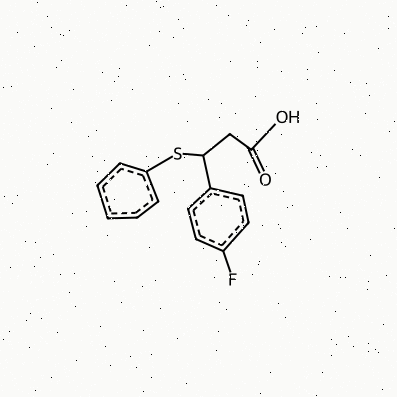 O=C(O)CC(Sc1ccccc1)c1ccc(F)cc1